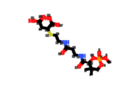 COP1(=O)OCC(C)(C)[C@H](C(=O)NCCC(=O)NCCSC(CC(=O)O)C(=O)O)O1